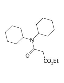 CCOC(=O)CC(=O)N(C1CCCCC1)C1CCCCC1